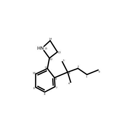 CCCC(C)(C)c1ccccc1C1CCN1